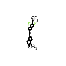 CC1CCc2cc(C#Cc3ccc4c(F)c(C#CC(F)(F)F)c(F)cc4c3)ccc2C1